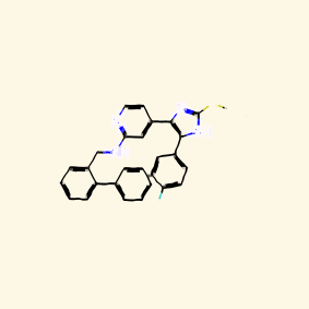 CSc1nc(-c2ccnc(NCc3ccccc3-c3ccccc3)c2)c(-c2ccc(F)cc2)[nH]1